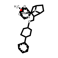 CS(=O)(=O)NC1CC2CCC(C1COC1CCC(c3ccccc3)CC1)N2c1ccccn1